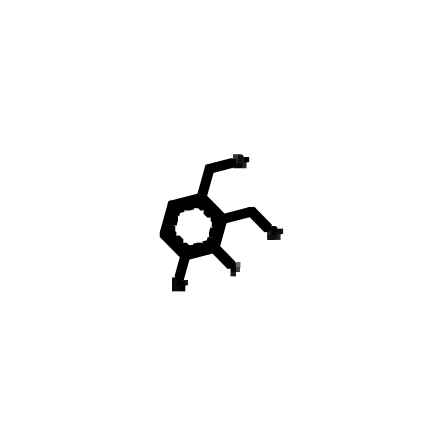 Fc1c(Br)ccc(CBr)c1CBr